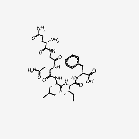 CC[C@H](C)[C@H](NC(=O)[C@H](CC(C)C)NC(=O)[C@H](CC(N)=O)NC(=O)CNC(=O)[C@@H](N)CCC(N)=O)C(=O)N[C@@H](Cc1ccccc1)C(=O)O